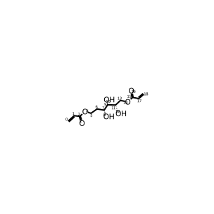 C=CC(=O)OCC[C@@H](O)[C@H](O)[C@@H](O)COC(=O)C=C